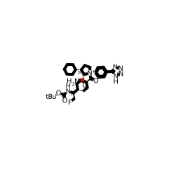 CC(C)(C)OC(=O)N[C@H](CF)[C@H]1CC[C@H](C(=O)[N+]2(c3ccc(-c4nnn[nH]4)cc3)CC[C@@H](C3CCCCC3)[C@H]2C(N)=O)CC1